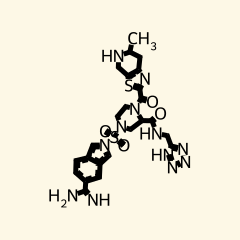 CC1Cc2nc(C(=O)N3CCN(S(=O)(=O)n4cc5ccc(C(=N)N)cc5c4)CC3C(=O)NCc3nnn[nH]3)sc2CN1